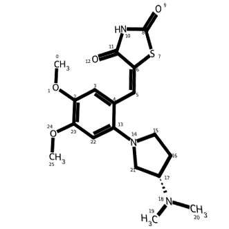 COc1cc(C=C2SC(=O)NC2=O)c(N2CC[C@H](N(C)C)C2)cc1OC